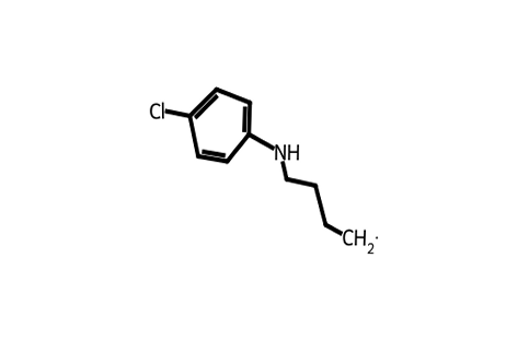 [CH2]CCCNc1ccc(Cl)cc1